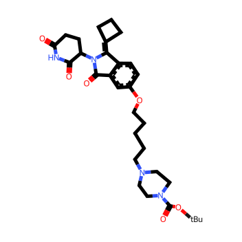 CC(C)(C)OC(=O)N1CCN(CCCCCOc2ccc3c(c2)C(=O)N(C2CCC(=O)NC2=O)C3=C2CCC2)CC1